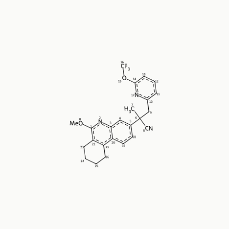 COc1nc2cc(C(C)(C#N)Cc3cccc(OC(F)(F)F)n3)ccc2c2c1CCCC2